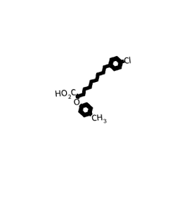 Cc1ccc(OC(CCCCCCCCc2ccc(Cl)cc2)C(=O)O)cc1